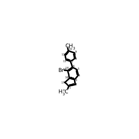 CC1=Cc2ccc(-c3ccc(C)cc3)c(Br)c2C1